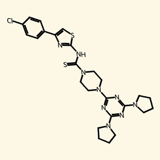 S=C(Nc1nc(-c2ccc(Cl)cc2)cs1)N1CCN(c2nc(N3CCCC3)nc(N3CCCC3)n2)CC1